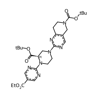 CCOC(=O)c1cnc(N2CCN(c3ncc4c(n3)CCN(C(=O)OC(C)(C)C)C4)C[C@@H]2C(=O)OC(C)(C)C)nc1